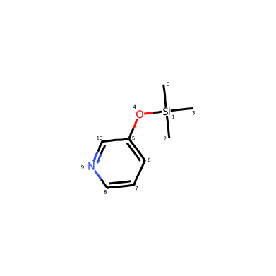 C[Si](C)(C)Oc1cccnc1